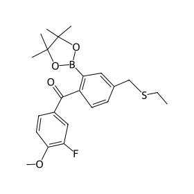 CCSCc1ccc(C(=O)c2ccc(OC)c(F)c2)c(B2OC(C)(C)C(C)(C)O2)c1